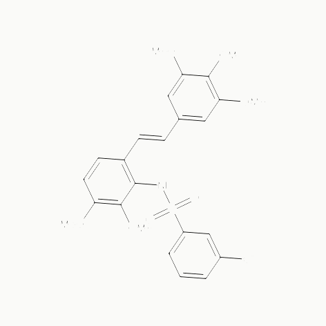 COc1cc(C=Cc2ccc(OC)c(OC)c2NS(=O)(=O)c2cccc(C(F)(F)F)c2)cc(OC)c1OC